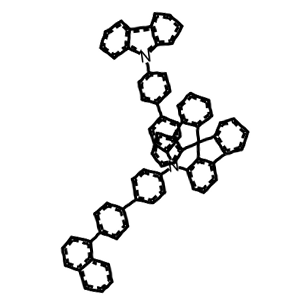 c1ccc2c(c1)-c1ccccc1C21c2ccccc2-c2cccc(N(c3ccc(-c4ccc(-c5cccc6ccccc56)cc4)cc3)c3ccc(-c4ccc(-n5c6ccccc6c6ccccc65)cc4)cc3)c21